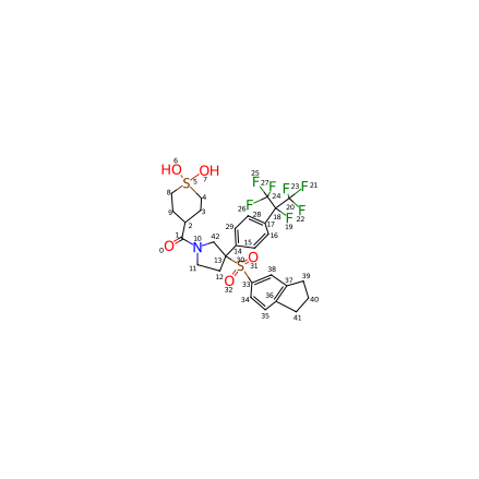 O=C(C1CCS(O)(O)CC1)N1CCC(c2ccc(C(F)(C(F)(F)F)C(F)(F)F)cc2)(S(=O)(=O)c2ccc3c(c2)CCC3)C1